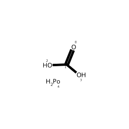 O=C(O)O.[PoH2]